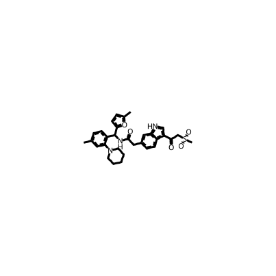 Cc1ccc(C(NC(=O)Cc2ccc3c(C(=O)CS(C)(=O)=O)c[nH]c3c2)c2ccc(C)o2)c(N2CCCCC2)c1